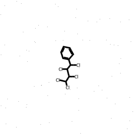 ClC(Cl)C(Cl)C(Cl)C(Cl)c1ccccc1